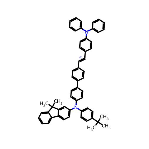 CC(C)(C)c1ccc(N(c2ccc(-c3ccc(/C=C/c4ccc(N(c5ccccc5)c5ccccc5)cc4)cc3)cc2)c2ccc3c(c2)C(C)(C)c2ccccc2-3)cc1